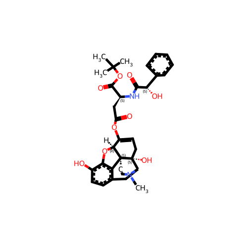 CN1CC[C@]23c4c5ccc(O)c4O[C@H]2C(OC(=O)C[C@H](NC(=O)[C@@H](O)c2ccccc2)C(=O)OC(C)(C)C)=CC[C@@]3(O)C1C5